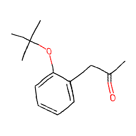 CC(=O)Cc1ccccc1OC(C)(C)C